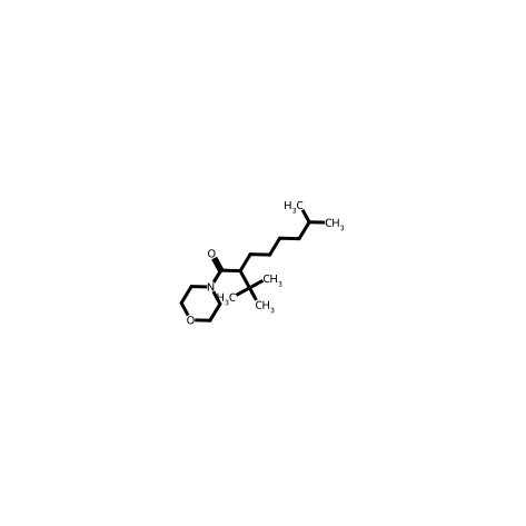 CC(C)CCCCC(C(=O)N1CCOCC1)C(C)(C)C